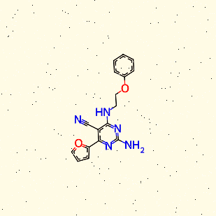 N#Cc1c(NCCOc2ccccc2)nc(N)nc1-c1ccco1